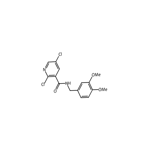 COc1ccc(CNC(=O)c2cc(Cl)cnc2Cl)cc1OC